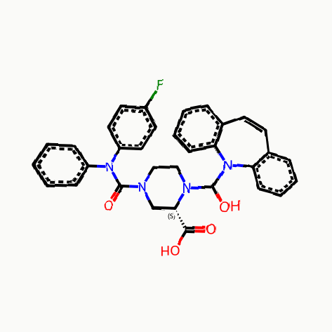 O=C(O)[C@@H]1CN(C(=O)N(c2ccccc2)c2ccc(F)cc2)CCN1C(O)N1c2ccccc2C=Cc2ccccc21